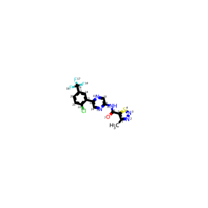 Cc1nnsc1C(=O)Nc1cnc(-c2cc(C(F)(F)F)ccc2Cl)cn1